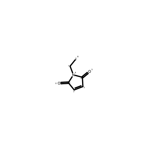 O=C1C=CC(=O)N1CI